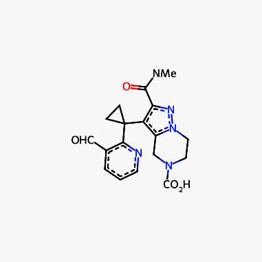 CNC(=O)c1nn2c(c1C1(c3ncccc3C=O)CC1)CN(C(=O)O)CC2